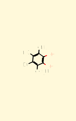 CCc1c(C)c(C)c(O)c(O)c1C(=O)O